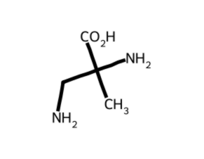 CC(N)(CN)C(=O)O